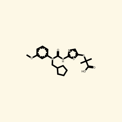 COc1cccc(N(CC2CCCC2)C(=O)Nc2ncc(SC(C)(C)C(=O)O)s2)c1